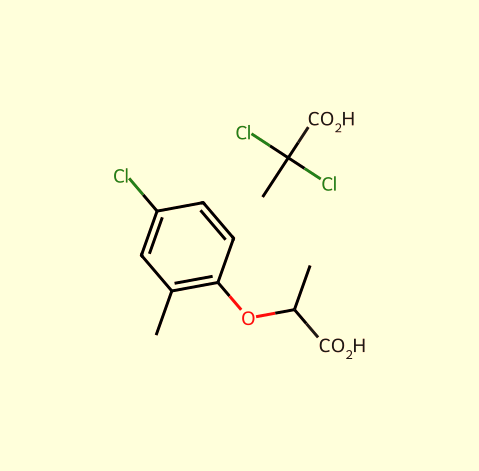 CC(Cl)(Cl)C(=O)O.Cc1cc(Cl)ccc1OC(C)C(=O)O